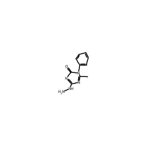 Cc1nc(NN)nc(=O)n1-c1ccccc1